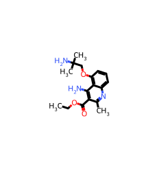 CCOC(=O)c1c(C)nc2cccc(OCC(C)(C)N)c2c1N